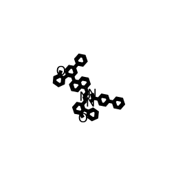 c1ccc(-c2ccc(-c3nc(-c4cccc5c(-c6cc(-c7ccccc7)cc7oc8ccccc8c67)cccc45)nc(-c4cccc5oc6ccccc6c45)n3)cc2)cc1